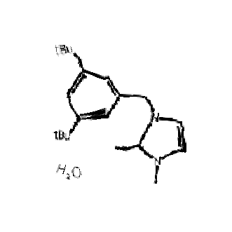 CC1N(C)C=CN1Cc1cc(C(C)(C)C)cc(C(C)(C)C)c1.O